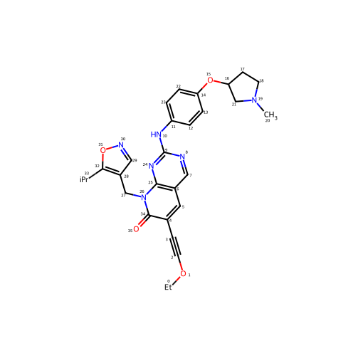 CCOC#Cc1cc2cnc(Nc3ccc(OC4CCN(C)C4)cc3)nc2n(Cc2cnoc2C(C)C)c1=O